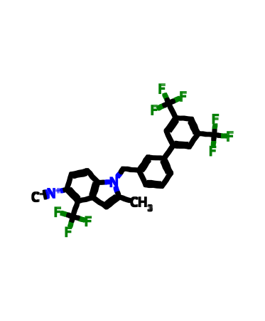 [C-]#[N+]c1ccc2c(cc(C)n2Cc2cccc(-c3cc(C(F)(F)F)cc(C(F)(F)F)c3)c2)c1C(F)(F)F